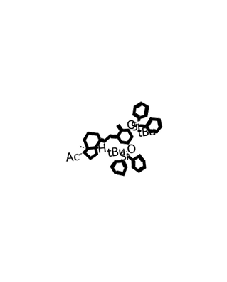 C=C1/C(=C/C=C2\CCC[C@]3(C)[C@@H](C(C)=O)CC[C@@H]23)C[C@@H](O[Si](c2ccccc2)(c2ccccc2)C(C)(C)C)C[C@@H]1O[Si](c1ccccc1)(c1ccccc1)C(C)(C)C